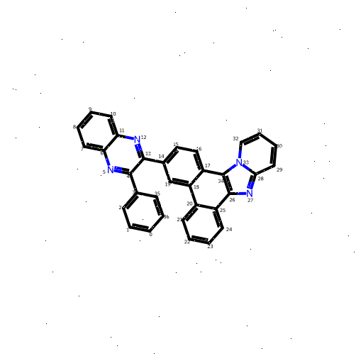 c1ccc(-c2nc3ccccc3nc2-c2ccc3c(c2)c2ccccc2c2nc4ccccn4c32)cc1